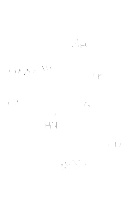 COC(=O)c1[nH]c(C(C)OC)nc1C(C)(C)O